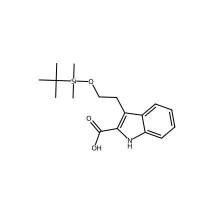 CC(C)(C)[Si](C)(C)OCCc1c(C(=O)O)[nH]c2ccccc12